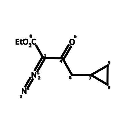 CCOC(=O)C(=[N+]=[N-])C(=O)CC1CC1